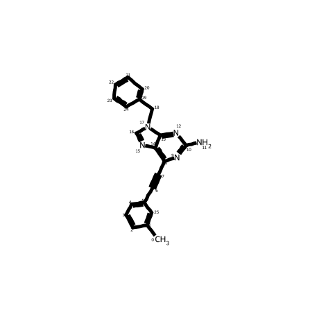 Cc1cccc(C#Cc2nc(N)nc3c2ncn3Cc2ccccc2)c1